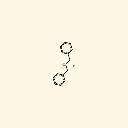 [H-].c1ccc([CH2][Ga][CH2]c2ccccc2)cc1